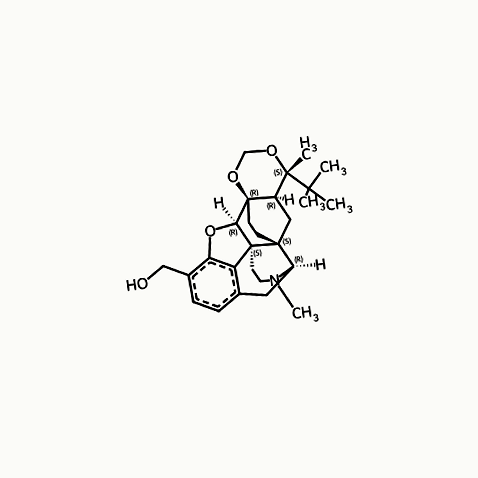 CN1CC[C@]23c4c5ccc(CO)c4O[C@H]2[C@@]24CC[C@@]3(C[C@@H]2[C@@](C)(C(C)(C)C)OCO4)[C@H]1C5